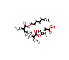 C=C(C)C(=O)OC.C=C(CC)C(=O)OCCCCCC.C=CC(=O)O